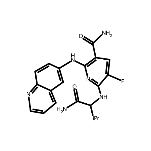 CC(C)C(Nc1nc(Nc2ccc3ncccc3c2)c(C(N)=O)cc1F)C(N)=O